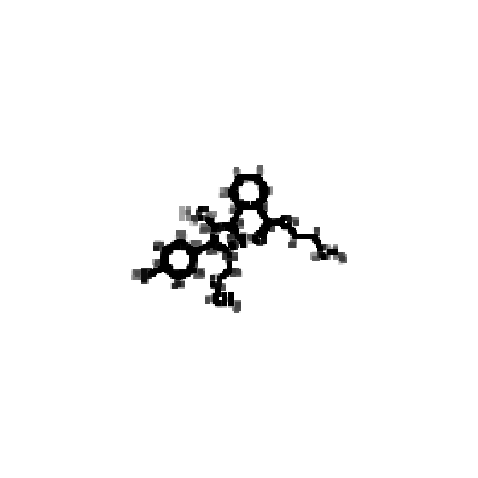 CCCOC(=O)c1ccccc1-c1nn(COC)c(-c2ccc(F)cc2)c1C